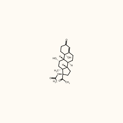 CC(=O)O[C@]1(C(C)=O)CC[C@H]2[C@@H]3CCC4=CC(=O)CC[C@]4(O)[C@H]3[C@@H](O)C[C@@]21C